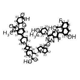 C#Cc1c(F)ccc2cc(O)cc(-c3ncc4c(N5CCC[C@@](C)(O)C5)nc(OC[C@@]56CCCN5[C@H](CC5CC7(CCN5C(=O)O)CC(N5CCC(c8ccc9c(c8)n(C)c(=O)n9C8CCC(=O)NC8=O)CC5)C7)CC6)nc4c3F)c12